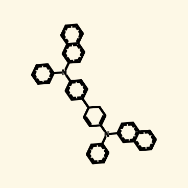 C1=CC(c2ccc(N(c3ccccc3)c3ccc4ccccc4c3)cc2)CC=C1N(c1ccccc1)c1ccc2ccccc2c1